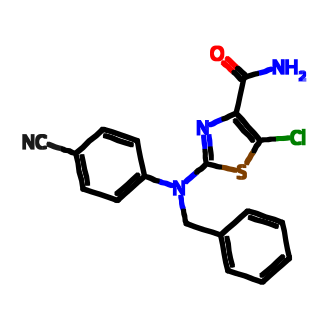 N#Cc1ccc(N(Cc2ccccc2)c2nc(C(N)=O)c(Cl)s2)cc1